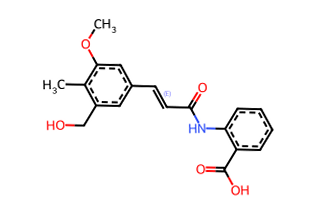 COc1cc(/C=C/C(=O)Nc2ccccc2C(=O)O)cc(CO)c1C